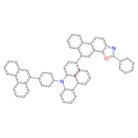 c1ccc(-c2nc3ccc4c5ccccc5c(-c5ccc(N(c6ccc(-c7cc8ccccc8c8ccccc78)cc6)c6ccccc6-c6ccccc6)cc5)cc4c3o2)cc1